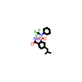 CC(C)Cc1ccc(C(N)=O)c(S(=O)(=O)N(c2ccccc2)C(F)(F)F)c1